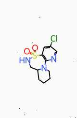 O=S1(=O)NCC2CCCCN2c2ncc(Cl)cc21